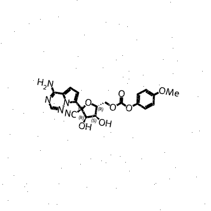 COc1ccc(OC(=O)OC[C@H]2O[C@@](C#N)(c3ccc4c(N)ncnn34)[C@H](O)[C@@H]2O)cc1